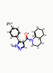 CC(C)c1ccc(-c2c(C(=O)N3CCCC4CCCC=C43)cnn2C)cc1